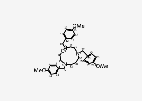 COc1ccc(CN2CCCN(Cc3ccc(OC)cc3)CCN(Cc3ccc(OC)cc3)CCC2)cc1